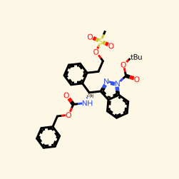 CC(C)(C)OC(=O)n1nc([C@H](NC(=O)OCc2ccccc2)c2ccccc2CCOS(C)(=O)=O)c2ccccc21